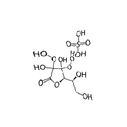 O=C1O[C@H]([C@@H](O)CO)C(O)(OO)C1(O)OO.O=S(=O)(O)O